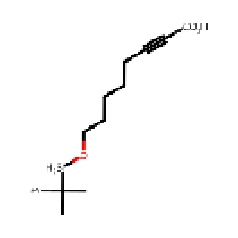 CC(C)C(C)(C)[SiH2]OCCCCCC#CC(=O)O